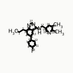 CCCc1cc(-c2ccc(F)cc2)cc2c(NCc3cnc(C)c(C)c3)ncnc12